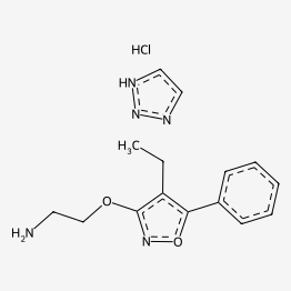 CCc1c(OCCN)noc1-c1ccccc1.Cl.c1c[nH]nn1